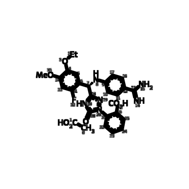 CC(=O)O.CCOc1cc([C@H](Nc2ccc(C(=N)N)cc2)c2nn(-c3ccccc3C(=O)O)c(=O)[nH]2)c(F)cc1OC